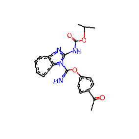 CC(=O)c1ccc(OC(=N)n2c(NC(=O)OC(C)C)nc3ccccc32)cc1